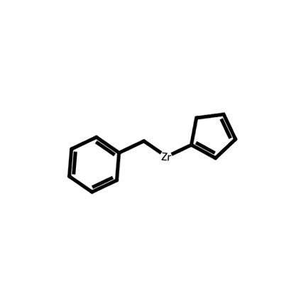 C1=CC[C]([Zr][CH2]c2ccccc2)=C1